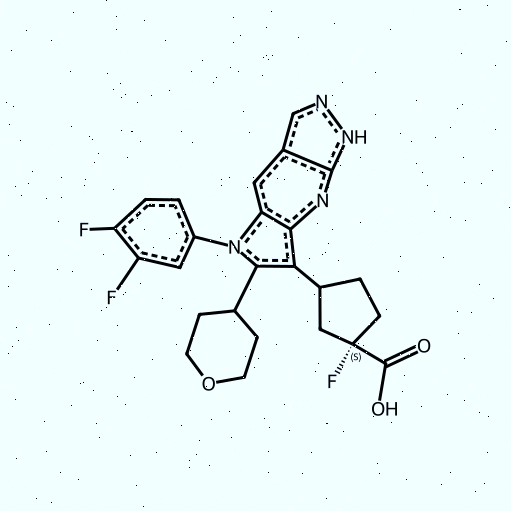 O=C(O)[C@]1(F)CCC(c2c(C3CCOCC3)n(-c3ccc(F)c(F)c3)c3cc4cn[nH]c4nc23)C1